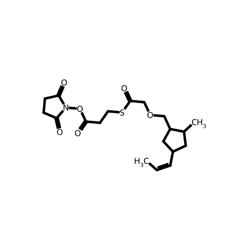 C/C=C\C1CC(C)C(COCC(=O)SCCC(=O)ON2C(=O)CCC2=O)C1